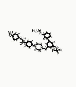 CCOc1cccc(-c2cc(CN3CCN(c4ccc(C(=O)Nc5ccc(OC)cc5)cc4)CC3)cc(OC(F)(F)F)c2)c1